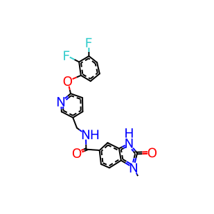 Cn1c(=O)[nH]c2cc(C(=O)NCc3ccc(Oc4cccc(F)c4F)nc3)ccc21